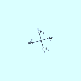 [CH2]CCC(C)(C)C(C)=O